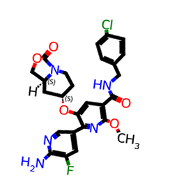 COc1nc(-c2cnc(N)c(F)c2)c(O[C@H]2CCN3C(=O)OC[C@@H]3C2)cc1C(=O)NCc1ccc(Cl)cc1